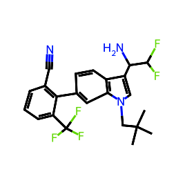 CC(C)(C)Cn1cc(C(N)C(F)F)c2ccc(-c3c(C#N)cccc3C(F)(F)F)cc21